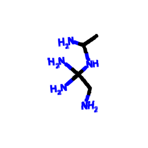 CC(N)NC(N)(N)CN